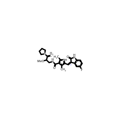 C=C(C(CNC(=O)c1c(C)[nH]c(/C=C2\C(=O)Nc3ccc(F)cc32)c1C)OC)N1CCCC1